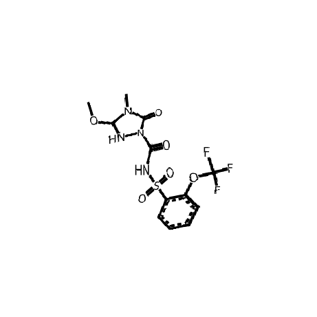 COC1NN(C(=O)NS(=O)(=O)c2ccccc2OC(F)(F)F)C(=O)N1C